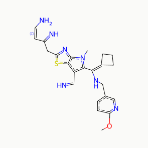 COc1ccc(CNC(=C2CCC2)c2c(C=N)c3sc(CC(=N)/C=C\N)nc3n2C)cn1